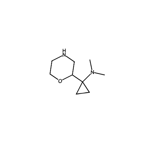 CN(C)C1(C2CNCCO2)CC1